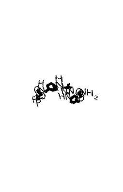 Cc1ccc(Nc2ncc(C)c(Nc3ccc(CNS(=O)(=O)CC(F)(F)F)cc3)n2)cc1S(N)(=O)=O